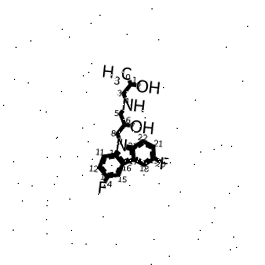 CC(O)CNCC(O)Cn1c2ccc(F)cc2c2cc(F)ccc21